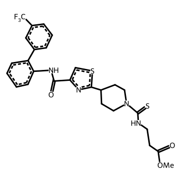 COC(=O)CCNC(=S)N1CCC(c2nc(C(=O)Nc3ccccc3-c3cccc(C(F)(F)F)c3)cs2)CC1